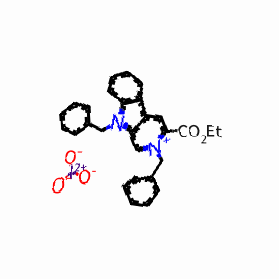 CCOC(=O)c1cc2c3ccccc3n(Cc3ccccc3)c2c[n+]1Cc1ccccc1.[O-][I+2]([O-])[O-]